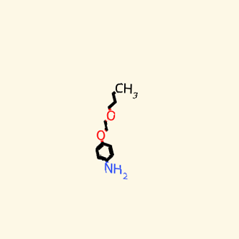 CCCCOCCOc1ccc(N)cc1